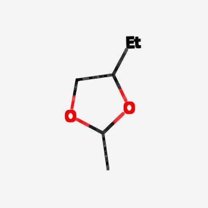 CCC1COC(C)O1